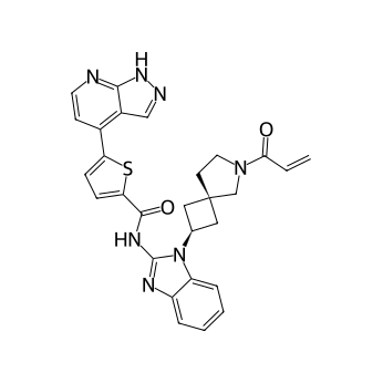 C=CC(=O)N1CC[C@]2(C1)C[C@H](n1c(NC(=O)c3ccc(-c4ccnc5[nH]ncc45)s3)nc3ccccc31)C2